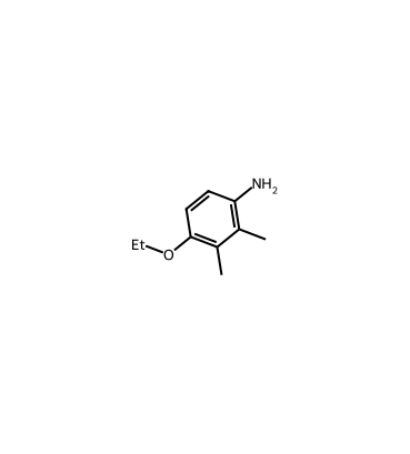 CCOc1ccc(N)c(C)c1C